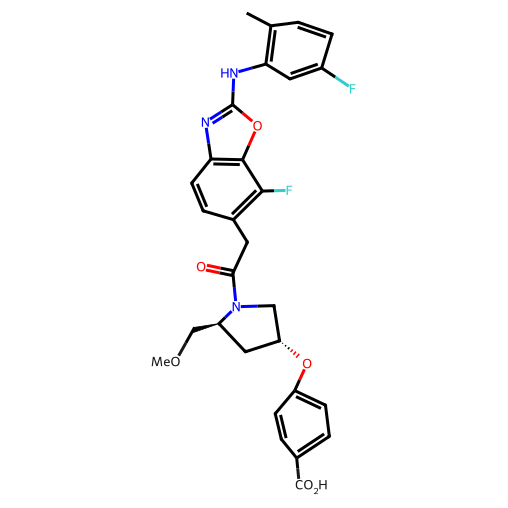 COC[C@@H]1C[C@@H](Oc2ccc(C(=O)O)cc2)CN1C(=O)Cc1ccc2nc(Nc3cc(F)ccc3C)oc2c1F